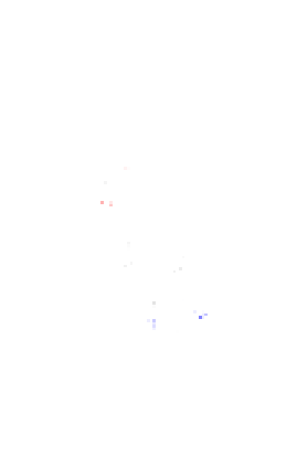 C1COCO1.c1ccc2[nH]cnc2c1